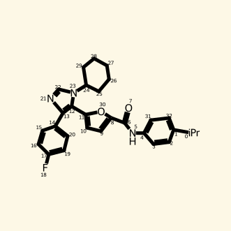 CC(C)c1ccc(NC(=O)c2ccc(-c3c(-c4ccc(F)cc4)ncn3C3CCCCC3)o2)cc1